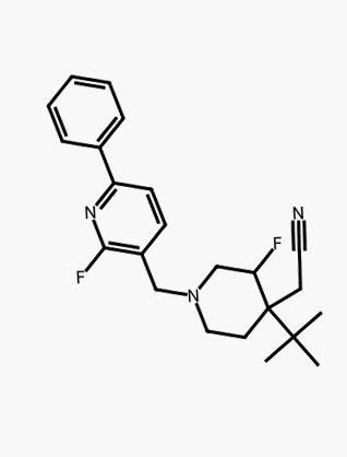 CC(C)(C)C1(CC#N)CCN(Cc2ccc(-c3ccccc3)nc2F)CC1F